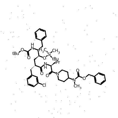 CC(C)[C@H](NC(=O)[C@H](Cc1cccc(Cl)c1)C[C@H](O[Si](C)(C)C(C)(C)C)[C@H](Cc1ccccc1)NC(=O)OC(C)(C)C)C(=O)N1CCC(N(C)C(=O)OCc2ccccc2)CC1